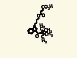 CC1(C)C(C(=O)c2cn(CCCCOC(=O)C=CC(=O)O)c3ccccc23)C1(C)C